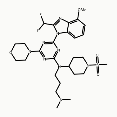 COc1cccc2c1nc(C(F)F)n2-c1nc(N2CCOCC2)nc(N(CCCN(C)C)C2CCN(S(C)(=O)=O)CC2)n1